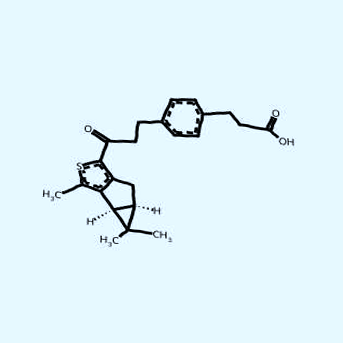 Cc1sc(C(=O)CCc2ccc(CCC(=O)O)cc2)c2c1[C@H]1[C@@H](C2)C1(C)C